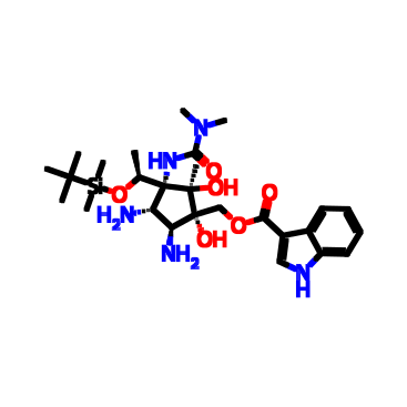 C[C@H](O[Si](C)(C)C(C)(C)C)[C@]1(NC(=O)N(C)C)[C@@H](N)[C@H](N)[C@](O)(COC(=O)c2c[nH]c3ccccc23)[C@]1(C)O